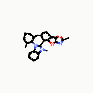 Cc1nc2oc3c(-c4n(-c5c(C)cccc5C)c5ccccc5[n+]4C)c(C)ccc3c2o1